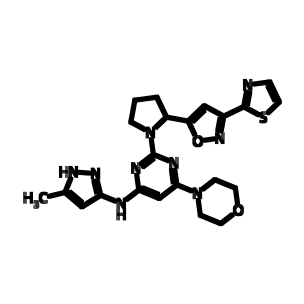 Cc1cc(Nc2cc(N3CCOCC3)nc(N3CCCC3c3cc(-c4nccs4)no3)n2)n[nH]1